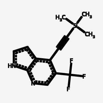 C[Si](C)(C)C#Cc1c(C(F)(F)F)cnc2[nH]ccc12